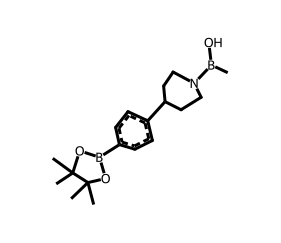 CB(O)N1CCC(c2ccc(B3OC(C)(C)C(C)(C)O3)cc2)CC1